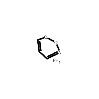 C1=COON=C1.P